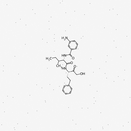 CCC(C)[C@H](NC(=O)c1cccc(N)c1)C(=O)N[C@@H](CCc1ccccc1)C(=O)CO